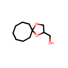 OCC1COC2(CCCCCCC2)O1